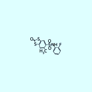 Cc1cc2sc(=O)sc2cc1S(=O)(=O)Nc1ccccc1F